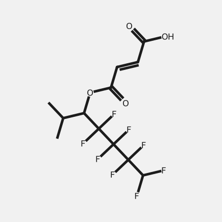 CC(C)C(OC(=O)/C=C/C(=O)O)C(F)(F)C(F)(F)C(F)(F)C(F)F